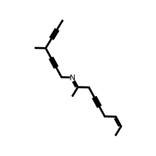 CC#CC(C)C#CC/N=C(\C)CC#CC/C=C\C